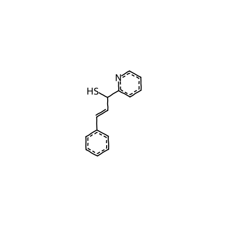 SC(C=Cc1ccccc1)c1ccccn1